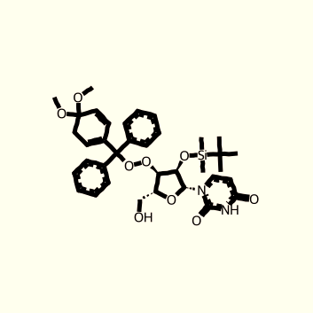 COC1(OC)C=CC(C(OO[C@H]2[C@@H](O[Si](C)(C)C(C)(C)C)[C@H](n3ccc(=O)[nH]c3=O)O[C@@H]2CO)(c2ccccc2)c2ccccc2)=CC1